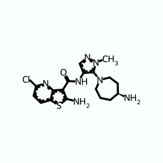 Cn1ncc(NC(=O)c2c(N)sc3ccc(Cl)nc23)c1N1CCC[C@H](N)CC1